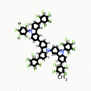 Cc1c(F)c(F)c(-c2ccc3c(c2)c2cc(-n4c5ccc(-c6ccc7c(c6)c6cc(-c8c(F)c(F)c(F)c(F)c8F)ccc6n7-c6c(F)c(F)c(F)c(F)c6F)cc5c5cc(-c6c(F)c(F)c(F)c(F)c6F)ccc54)ccc2n3-c2c(F)c(F)c(F)c(F)c2F)c(F)c1F